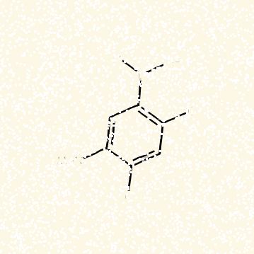 CNc1cc(B(O)O)c(Cl)cc1Cl